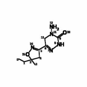 CCC1(C)CC(C2=NNC(=O)N(N)C2)=NO1